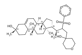 C[C@H](C(CC1(O)CCOCC1)S(=O)(=O)c1ccccc1)[C@H]1CC[C@H]2[C@@H]3CC=C4C[C@@](C)(O)CC[C@]4(C)[C@H]3CC[C@]12C